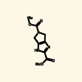 COC(=O)c1nc2c([nH]1)CN(C(=O)OC(C)(C)C)C2